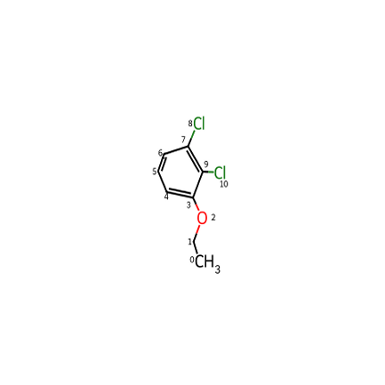 CCOc1cc[c]c(Cl)c1Cl